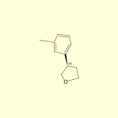 Cc1cccc([C@H]2CCOC2)c1